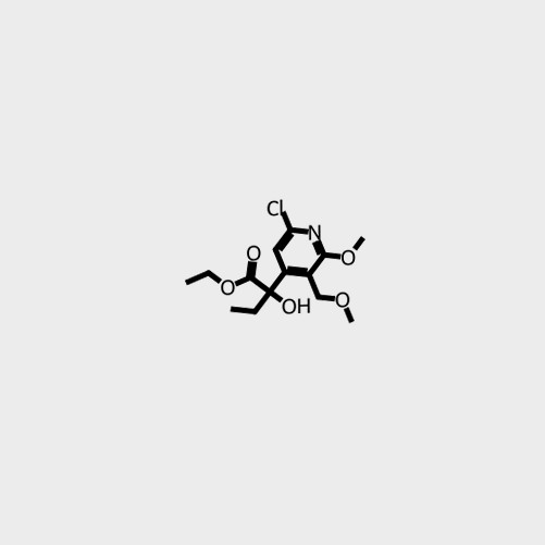 CCOC(=O)C(O)(CC)c1cc(Cl)nc(OC)c1COC